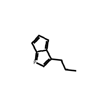 CCCC1=[C]P=C2C=CC=C12